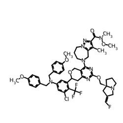 COc1ccc(CN(Cc2ccc(OC)cc2)c2cc(Cl)c(C(F)(F)F)c(C3Cc4nc(OC[C@@]56CCCN5C/C(=C\F)C6)nc(N5CCCn6nc(C(=O)N(C)OC)c(C)c6C5)c4CO3)c2)cc1